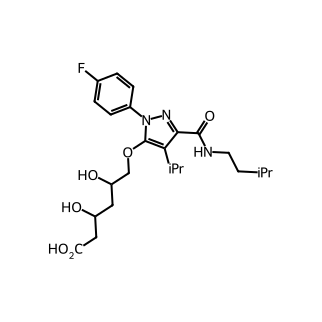 CC(C)CCNC(=O)c1nn(-c2ccc(F)cc2)c(OCC(O)CC(O)CC(=O)O)c1C(C)C